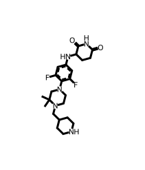 CC1(C)CN(c2c(F)cc(NC3CCC(=O)NC3=O)cc2F)CCN1CC1CCNCC1